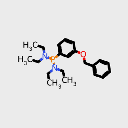 CCN(CC)P(c1cccc(OCc2ccccc2)c1)N(CC)CC